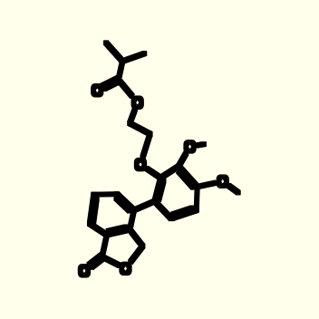 COc1ccc(-c2cccc3c2COC3=O)c(OCCOC(=O)C(C)C)c1OC